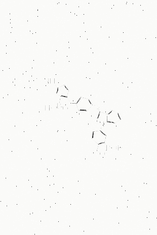 CC(=O)Nc1ccc2c(c1)B(O)OC2c1ccc(Sc2cn(-c3ccc4c(c3)B(O)OC4)c3ccccc23)cc1